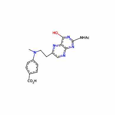 CC(=O)Nc1nc(O)c2nc(CCN(C)c3ccc(C(=O)O)cc3)cnc2n1